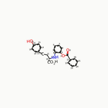 O=C(Oc1ccccc1N[C@@H](CCc1ccc(O)cc1)C(=O)O)c1ccccc1